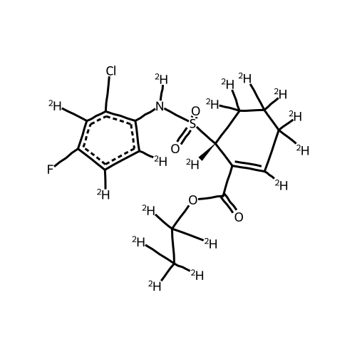 [2H]C1=C(C(=O)OC([2H])([2H])C([2H])([2H])[2H])[C@]([2H])(S(=O)(=O)N([2H])c2c([2H])c([2H])c(F)c([2H])c2Cl)C([2H])([2H])C([2H])([2H])C1([2H])[2H]